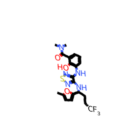 Cc1ccc(C(CCC(F)(F)F)Nc2nsnc2Nc2cccc(C(=O)N(C)C)c2O)o1